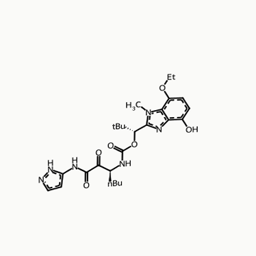 CCCC[C@H](NC(=O)O[C@@H](c1nc2c(O)ccc(OCC)c2n1C)C(C)(C)C)C(=O)C(=O)Nc1ccn[nH]1